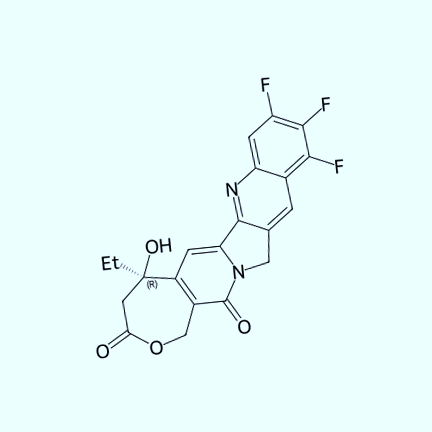 CC[C@@]1(O)CC(=O)OCc2c1cc1n(c2=O)Cc2cc3c(F)c(F)c(F)cc3nc2-1